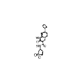 O=C(N[C@@H]1C=CS(=O)(=O)C1)c1cc2ccc(C3CCC3)cc2[nH]c1=O